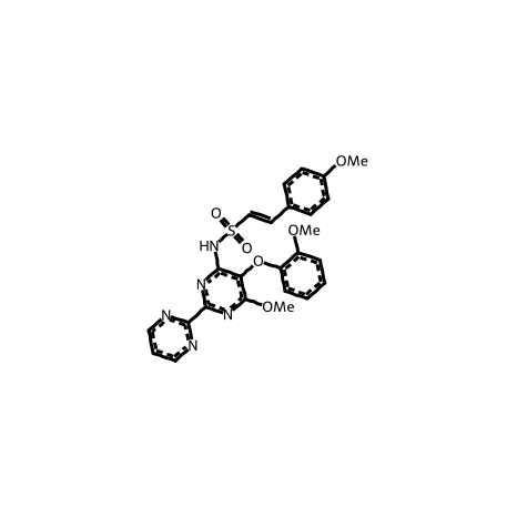 COc1ccc(/C=C/S(=O)(=O)Nc2nc(-c3ncccn3)nc(OC)c2Oc2ccccc2OC)cc1